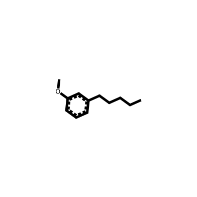 CCCCCc1cccc(OC)c1